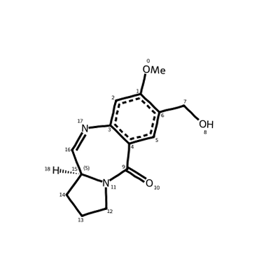 COc1cc2c(cc1CO)C(=O)N1CCC[C@H]1C=N2